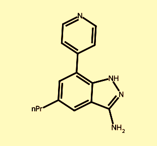 CCCc1cc(-c2ccncc2)c2[nH]nc(N)c2c1